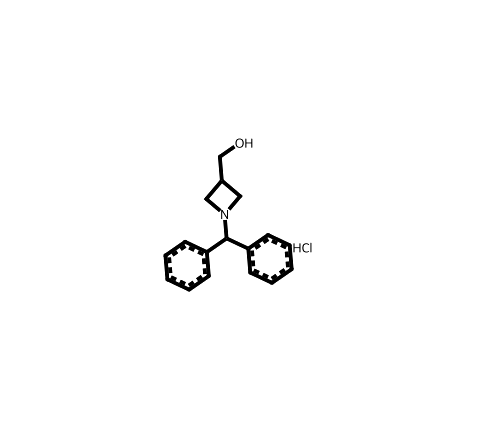 Cl.OCC1CN(C(c2ccccc2)c2ccccc2)C1